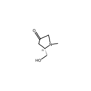 CN1CC(=O)C[C@H]1CO